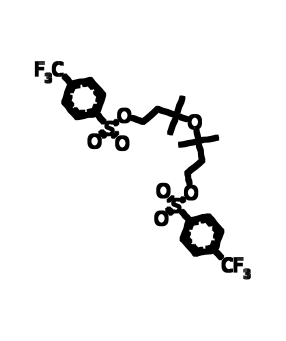 CC(C)(CCOS(=O)(=O)c1ccc(C(F)(F)F)cc1)OC(C)(C)CCOS(=O)(=O)c1ccc(C(F)(F)F)cc1